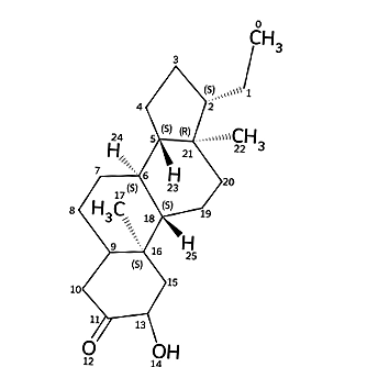 CC[C@H]1CC[C@H]2[C@@H]3CCC4CC(=O)C(O)C[C@]4(C)[C@H]3CC[C@]12C